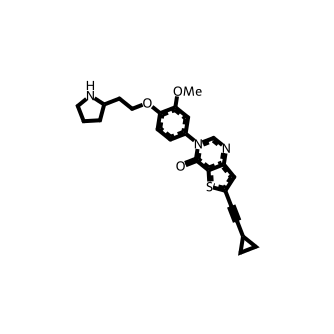 COc1cc(-n2cnc3cc(C#CC4CC4)sc3c2=O)ccc1OCCC1CCCN1